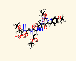 C[C@@H](OC(C)(C)C)[C@H](NC(=O)CNC(=O)[C@H](CCC(=O)OC(C)(C)C)NC(=O)C(C)(C)NC(=O)[C@H](Cc1ccc(OC(C)(C)C)cc1)NC(=O)OC(C)(C)C)C(=O)O